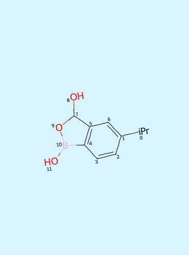 CC(C)c1ccc2c(c1)C(O)OB2O